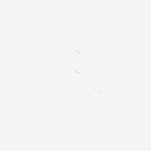 CN(C(=O)OC1c2ccccc2-c2ccccc21)C(CNC1CC(C)(C)NC(C)(C)C1)Cc1ccc(OCc2c(Cl)cccc2Cl)cc1